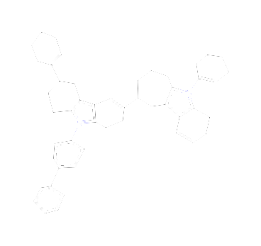 C1=Cc2c3c(n(C4=CCCCC4)c2CC1)CCCC(C1=Cc2c4c(n(-c5ccc(-c6ccccc6)cc5)c2CC1)CCC(C1=CCCCC1)C4)C3